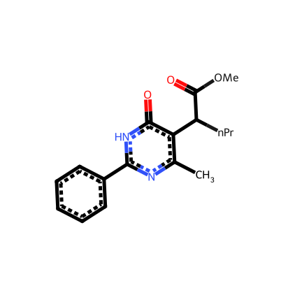 CCCC(C(=O)OC)c1c(C)nc(-c2ccccc2)[nH]c1=O